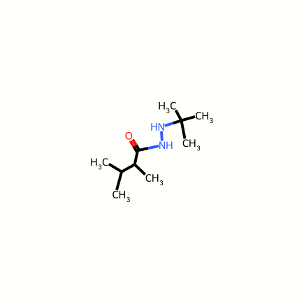 CC(C)C(C)C(=O)NNC(C)(C)C